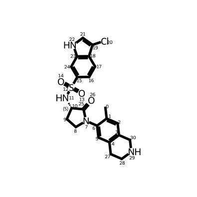 Cc1cc2c(cc1N1CC[C@H](NS(=O)(=O)c3ccc4c(Cl)c[nH]c4c3)C1=O)CCNC2